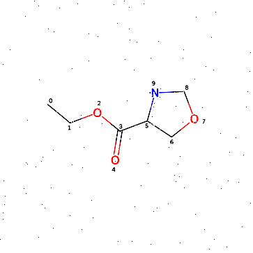 CCOC(=O)C1COC[N]1